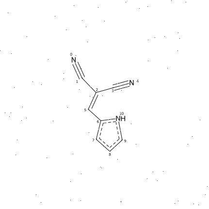 N#CC(C#N)=Cc1ccc[nH]1